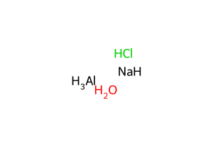 Cl.O.[AlH3].[NaH]